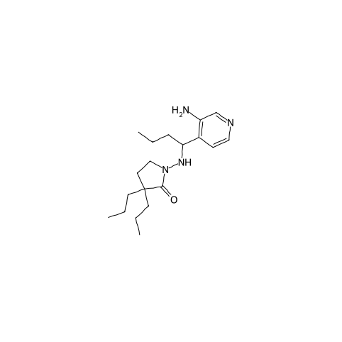 CCCC(NN1CCC(CCC)(CCC)C1=O)c1ccncc1N